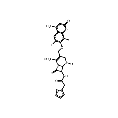 Cc1cc(=O)oc2c(F)c(OCC3=C(C(=O)O)N4C(=O)C(NC(=O)Cc5cccs5)C4[S+]([O-])C3)c(F)cc12